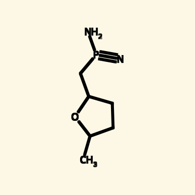 CC1CCC(CP(#N)N)O1